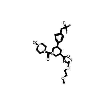 COCCOc1noc(C2CC(c3ccc(CC(F)(F)F)cc3)CN(C(=O)N3CC[S+]([O-])CC3)C2)n1